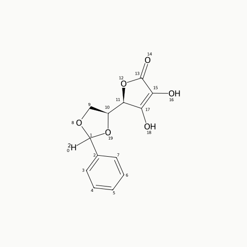 [2H]C1(c2ccccc2)OC[C@@H]([C@H]2OC(=O)C(O)=C2O)O1